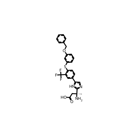 C[C@](N)(CC(=O)O)c1ncc(-c2ccc(Sc3cccc(OCc4ccccc4)c3)c(C(F)(F)F)c2)[nH]1